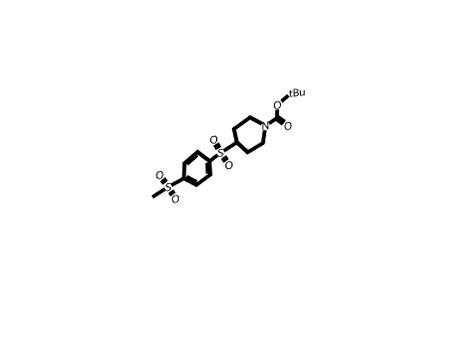 CC(C)(C)OC(=O)N1CCC(S(=O)(=O)c2ccc(S(C)(=O)=O)cc2)CC1